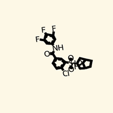 O=C(Nc1cc(F)c(F)c(F)c1)c1ccc(Cl)c(S(=O)(=O)[C@H]2CC3CCC(C2)[C@@H]3O)c1